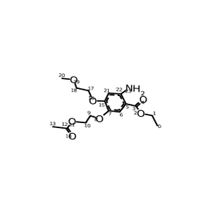 CCOC(=O)c1cc(OCCOC(C)=O)c(OCCOC)cc1N